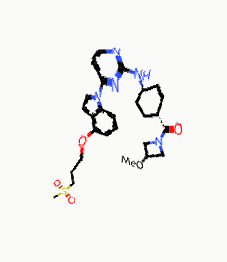 COC1CN(C(=O)[C@H]2CC[C@H](Nc3nccc(-n4ccc5c(OCCCS(C)(=O)=O)cccc54)n3)CC2)C1